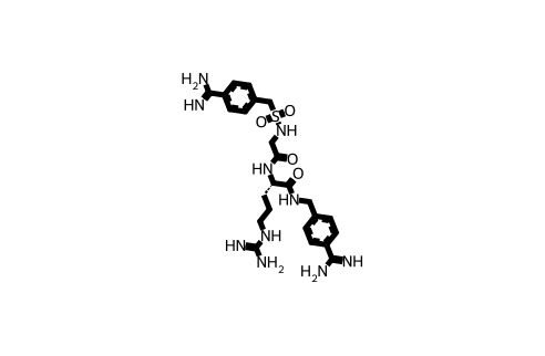 N=C(N)NCCC[C@H](NC(=O)CNS(=O)(=O)Cc1ccc(C(=N)N)cc1)C(=O)NCc1ccc(C(=N)N)cc1